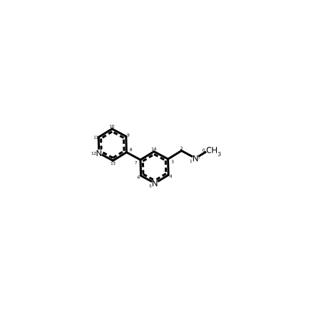 C[N]Cc1cncc(-c2cccnc2)c1